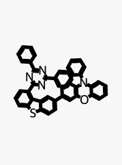 c1ccc(-c2nc(-c3ccccc3)nc(-c3cccc4sc5ccc(-c6cc7c8c(c6)c6ccccc6n8-c6ccccc6O7)cc5c34)n2)cc1